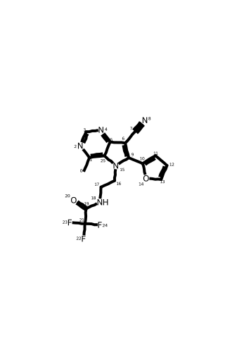 Cc1ncnc2c(C#N)c(-c3ccco3)n(CCNC(=O)C(F)(F)F)c12